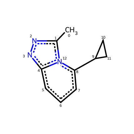 Cc1nnc2cccc(C3CC3)n12